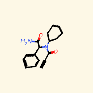 C#CC(=O)N(C1CCCCC1)C(C(N)=O)c1ccccc1